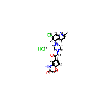 Cc1ccc2c(N3CCN(CC(=O)c4ccc5c(c4)NC(=O)CO5)CC3)cc(Cl)cc2n1.Cl